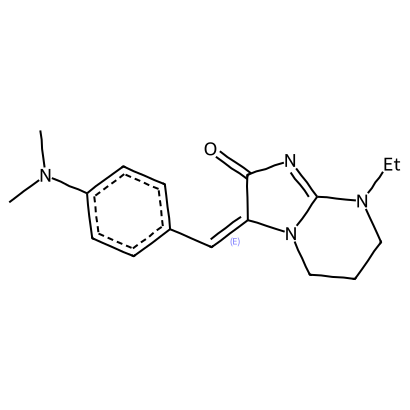 CCN1CCCN2C1=NC(=O)/C2=C\c1ccc(N(C)C)cc1